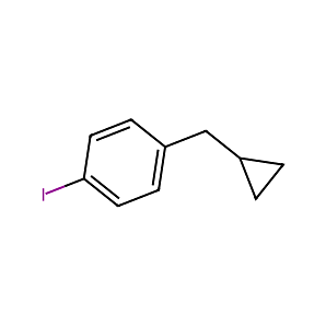 Ic1ccc(CC2CC2)cc1